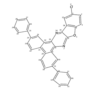 Clc1ccc2oc3nc4c5cc(-c6ccccc6)ccc5c5ccc(-c6ccccc6)cc5c4nc3c2c1